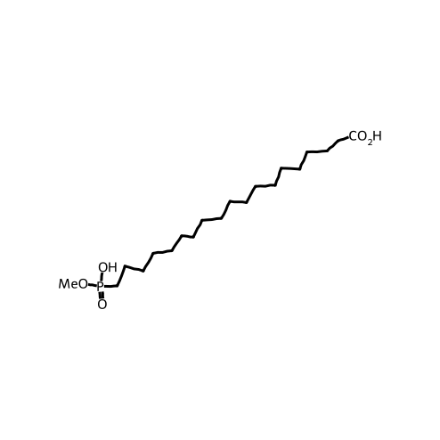 COP(=O)(O)CCCCCCCCCCCCCCCCCCC(=O)O